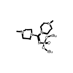 CN1CCN(C(=NP(=O)(OC(C)(C)C)OC(C)(C)C)N2CCN(C)CC2)CC1